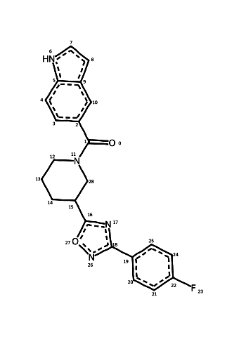 O=C(c1ccc2[nH]ccc2c1)N1CCCC(c2nc(-c3ccc(F)cc3)no2)C1